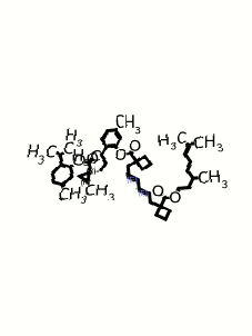 CC(C)=CCCC(C)CCOC(=O)C1(C/C=C/C=C/CC2(C(=O)Oc3cc(C)ccc3C(C)CC[C@@]3(C(=O)OC4CC(C)CCC4C(C)C)C[C@H]3C)CCC2)CCC1